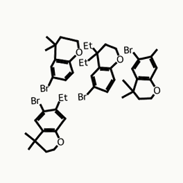 CC1(C)CCOc2ccc(Br)cc21.CCC1(CC)CCOc2ccc(Br)cc21.CCc1cc2c(cc1Br)C(C)(C)CCO2.Cc1cc2c(cc1Br)C(C)(C)CCO2